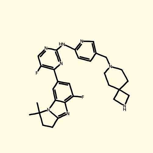 CC1(C)CCc2nc3c(F)cc(-c4nc(Nc5ccc(CN6CCC7(CC6)CNC7)cn5)ncc4F)cc3n21